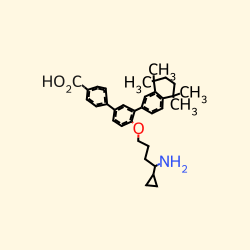 CC1(C)CCC(C)(C)c2cc(-c3cc(-c4ccc(C(=O)O)cc4)ccc3OCCCC(N)C3CC3)ccc21